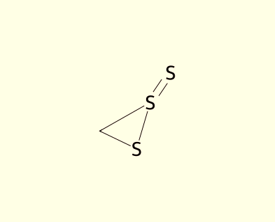 S=S1CS1